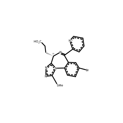 CSc1nnc2n1-c1ccc(Br)cc1C(c1ccccn1)=N[C@H]2CCC(=O)O